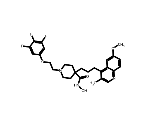 COc1ccc2ncc(C)c(CCCC3(C(=O)NO)CCN(CCOc4cc(F)c(F)c(F)c4)CC3)c2c1